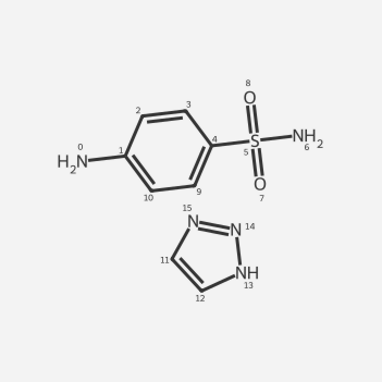 Nc1ccc(S(N)(=O)=O)cc1.c1c[nH]nn1